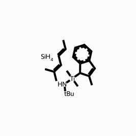 CC1=Cc2ccccc2[CH]1[Ti]([CH3])([CH3])[NH]C(C)(C)C.CC=CC=C(C)C.[SiH4]